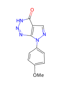 COc1ccc(-n2ncc3c(=O)[nH]nnc32)cc1